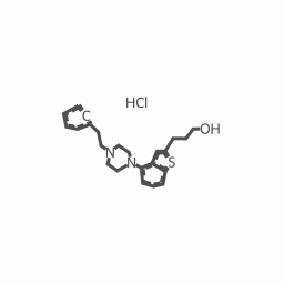 Cl.OCCCc1cc2c(N3CCN(CCc4ccccc4)CC3)cccc2s1